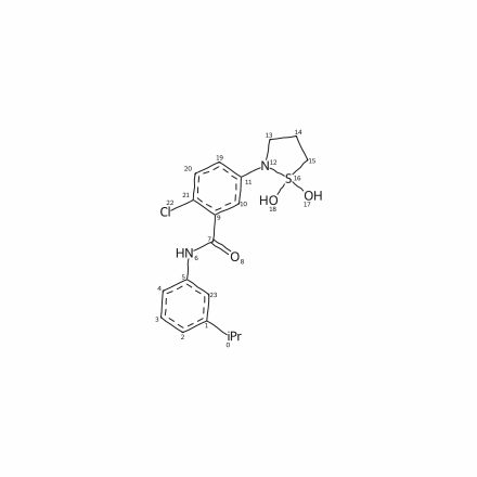 CC(C)c1cccc(NC(=O)c2cc(N3CCCS3(O)O)ccc2Cl)c1